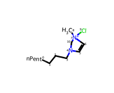 CCCCCCCCN1C=C[N+](C)(Cl)C1